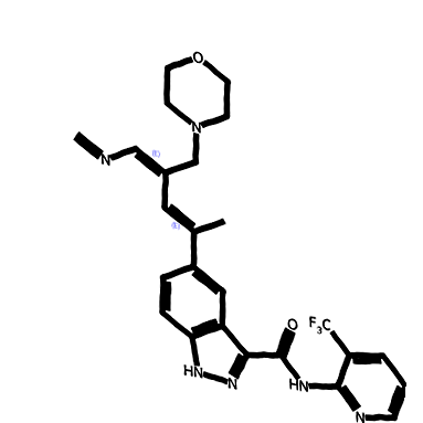 C=N/C=C(\C=C(/C)c1ccc2[nH]nc(C(=O)Nc3ncccc3C(F)(F)F)c2c1)CN1CCOCC1